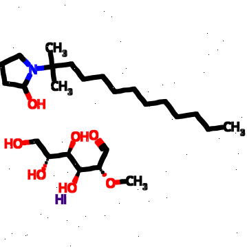 CCCCCCCCCCCC(C)(C)N1CCCC1O.CO[C@@H](C=O)[C@@H](O)[C@H](O)[C@H](O)CO.I